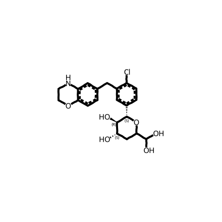 OC(O)C1C[C@H](O)[C@@H](O)[C@H](c2ccc(Cl)c(Cc3ccc4c(c3)NCCO4)c2)O1